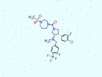 CN(Cc1ccc(C(F)(F)F)c(F)c1)[C@H]1CN(C(=O)N2CCCN(S(C)(=O)=O)CC2)C[C@@H]1c1ccc(Cl)c(F)c1